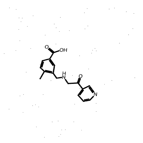 Cc1ccc(C(=O)O)cc1CNCC(=O)c1cccnc1